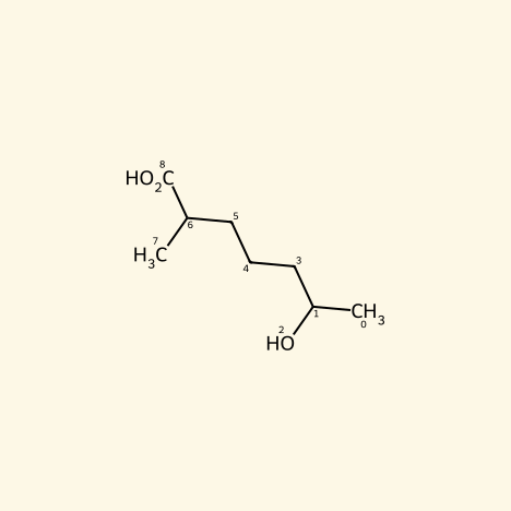 CC(O)CCCC(C)C(=O)O